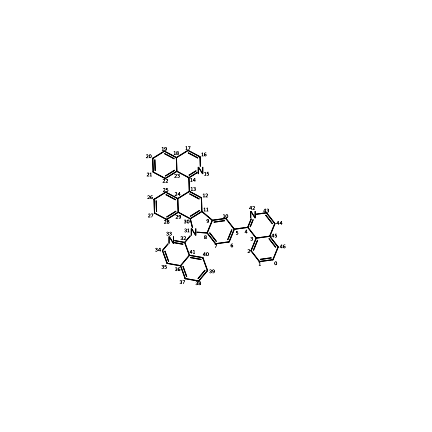 c1ccc2c(-c3ccc4c(c3)c3cc(-c5nccc6ccccc56)c5ccccc5c3n4-c3nccc4ccccc34)nccc2c1